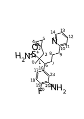 CC(CC1CC1)(C(CCCc1ccccn1)c1ccc(F)c(N)c1)[S+](N)[O-]